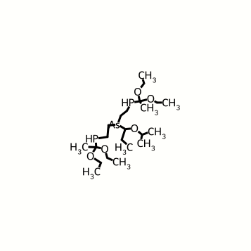 CCOC(C)(OCC)PCC[As](CCPC(C)(OCC)OCC)C(CC)OC(C)C